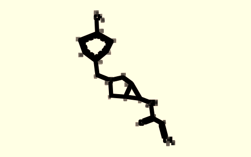 C=CC(=O)NC1C2CN(Cc3ccc(C(F)(F)F)cc3)CC21